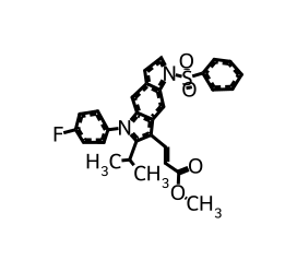 COC(=O)C=Cc1c(C(C)C)n(-c2ccc(F)cc2)c2cc3ccn(S(=O)(=O)c4ccccc4)c3cc12